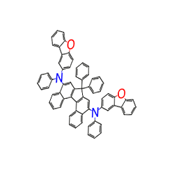 c1ccc(N(c2ccc3oc4ccccc4c3c2)c2cc3c(c4ccccc24)-c2c(cc(N(c4ccccc4)c4ccc5oc6ccccc6c5c4)c4ccccc24)C3(c2ccccc2)c2ccccc2)cc1